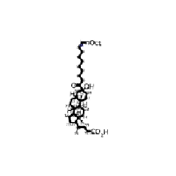 CCCCCCCC/C=C\CCCCCCCC(=O)[C@@]1(O)CC[C@@]2(C)[C@H](CC[C@@H]3[C@@H]2CC[C@]2(C)[C@@H]([C@H](C)CCC(=O)O)CC[C@@H]32)C1